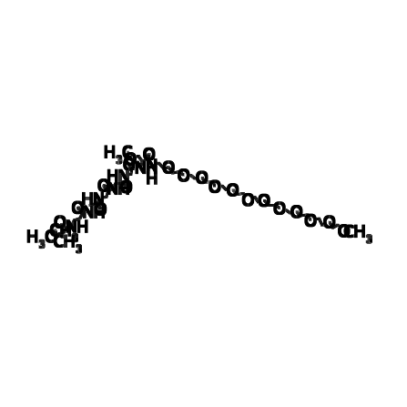 COCCOCCOCCOCCOCCOCCOCCOCCOCCOCCOCCOCCNC(=O)C(COC)NC(=O)CNC(=O)CNC(=O)CNC(=O)CNC(=O)CCNC(=O)CC(C)(C)C